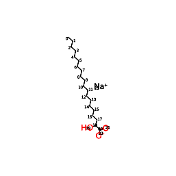 CCCCCCCCCCCCCCCCCCC(O)C(=O)[O-].[Na+]